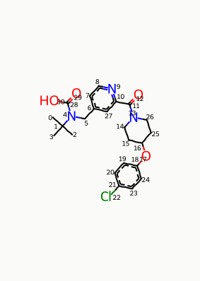 CC(C)(C)N(Cc1ccnc(C(=O)N2CCC(Oc3ccc(Cl)cc3)CC2)c1)C(=O)O